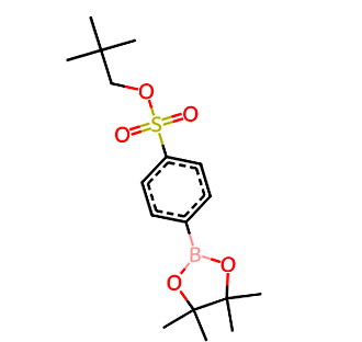 CC(C)(C)COS(=O)(=O)c1ccc(B2OC(C)(C)C(C)(C)O2)cc1